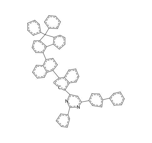 c1ccc(-c2ccc(-c3cc(-c4ccc(-c5ccc(-c6cccc7c6-c6ccccc6C7(c6ccccc6)c6ccccc6)c6ccccc56)c5ccccc45)nc(-c4ccccc4)n3)cc2)cc1